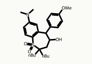 CCCCC1(CCCC)CC(O)C(c2ccc(OC)cc2)c2cc(N(C)C)ccc2S1(=O)=O